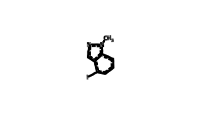 Cn1ncc2c(I)cccc21